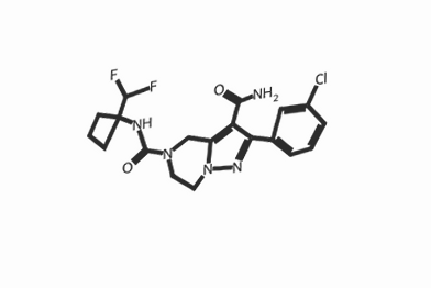 NC(=O)c1c(-c2cccc(Cl)c2)nn2c1CN(C(=O)NC1(C(F)F)CCC1)CC2